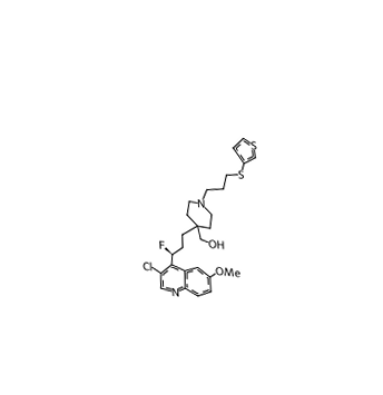 COc1ccc2ncc(Cl)c([C@@H](F)CCC3(CO)CCN(CCCSc4ccsc4)CC3)c2c1